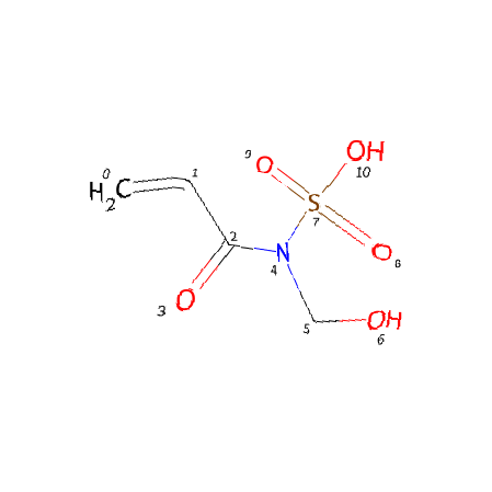 C=CC(=O)N(CO)S(=O)(=O)O